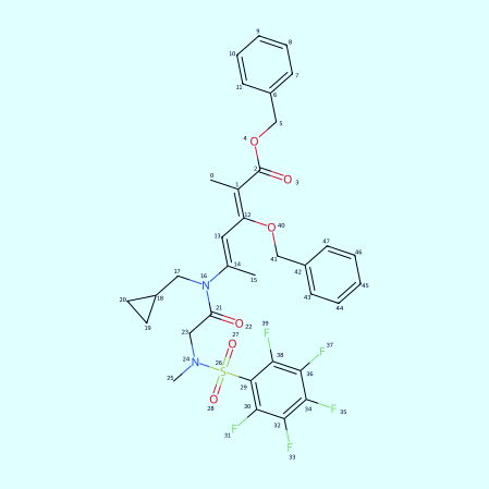 C/C(C(=O)OCc1ccccc1)=C(\C=C(/C)N(CC1CC1)C(=O)CN(C)S(=O)(=O)c1c(F)c(F)c(F)c(F)c1F)OCc1ccccc1